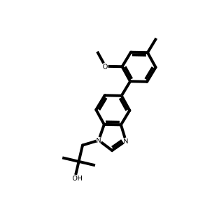 COc1cc(C)ccc1-c1ccc2c(c1)ncn2CC(C)(C)O